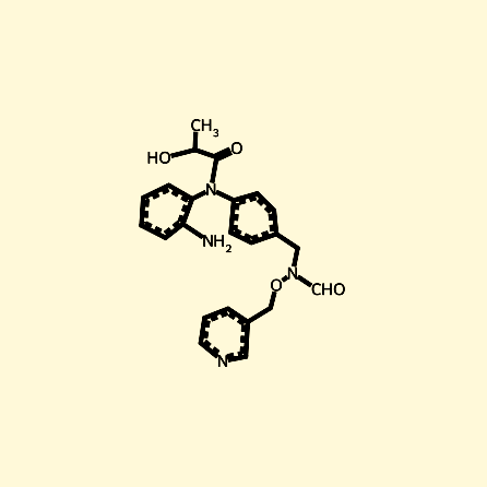 CC(O)C(=O)N(c1ccc(CN(C=O)OCc2cccnc2)cc1)c1ccccc1N